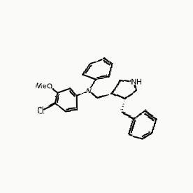 COc1cc(N(C[C@H]2CNC[C@@H]2Cc2ccccc2)c2ccccc2)ccc1Cl